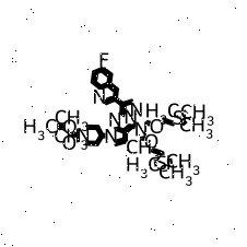 Cc1cn(C2CCN(C(=O)OC(C)(C)C)CC2)c2nc3c(-c4cnc5ccc(F)cc5c4)cnn3c(N(COCC[Si](C)(C)C)COCC[Si](C)(C)C)c12